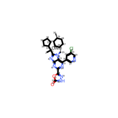 COC(C)(c1nc2nc(-c3n[nH]c(=O)o3)nc(-c3cncc(Cl)c3)c2n1C[C@H]1CC[C@H](C)CC1)C1CCCC1